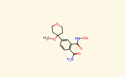 COC1(c2ccc(C(N)=O)c(C(=O)NO)c2)CCOCC1